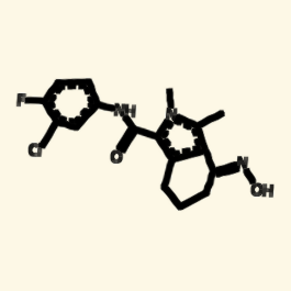 Cc1c2c(c(C(=O)Nc3ccc(F)c(Cl)c3)n1C)CCCC2=NO